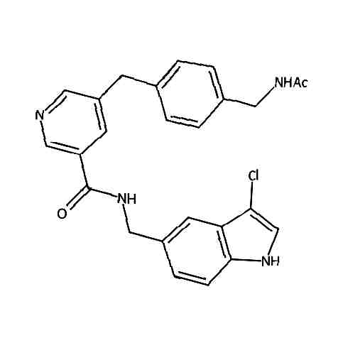 CC(=O)NCc1ccc(Cc2cncc(C(=O)NCc3ccc4[nH]cc(Cl)c4c3)c2)cc1